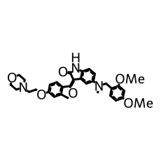 COc1ccc(CN(C)c2ccc3c(c2)C(=C2OCc4cc(OCCN5CCOCC5)ccc42)C(=O)N3)c(OC)c1